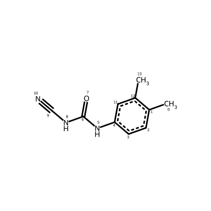 Cc1ccc(NC(=O)NC#N)cc1C